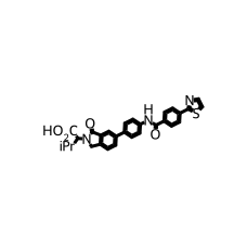 CC(C)C(C(=O)O)N1Cc2ccc(-c3ccc(NC(=O)c4ccc(-c5nccs5)cc4)cc3)cc2C1=O